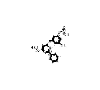 COc1cc(Oc2cc(C)cc(O[PH](=O)O)c2)nc(-c2ccccc2)n1